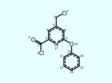 O=C(Cl)c1cc(CCl)cc(Oc2ccccc2)n1